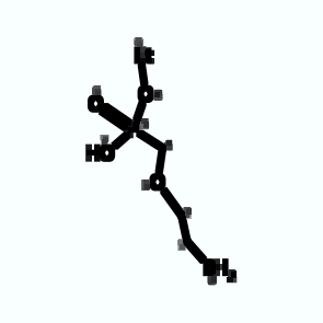 BCCOCP(=O)(O)OCC